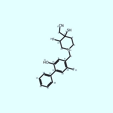 N#CCC1(S)CCN(Cc2cc(O)c(-c3ccccc3)cc2F)CC1F